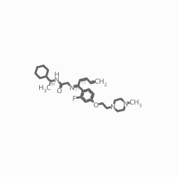 C=C/C=C\C(=N/CC(=O)N[C@@H](C)C1CCCCC1)c1ccc(OCCN2CCN(C)CC2)cc1F